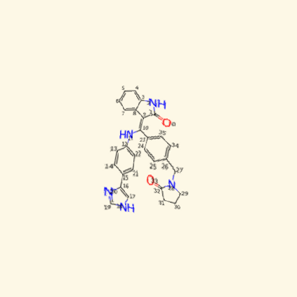 O=C1Nc2ccccc2C1=C(Nc1ccc(-c2c[nH]cn2)cc1)c1ccc(CN2CCCC2=O)cc1